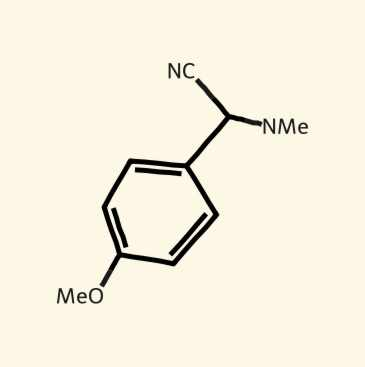 CNC(C#N)c1ccc(OC)cc1